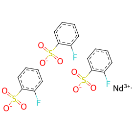 O=S(=O)([O-])c1ccccc1F.O=S(=O)([O-])c1ccccc1F.O=S(=O)([O-])c1ccccc1F.[Nd+3]